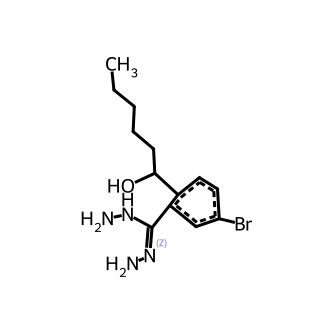 CCCCCC(O)c1ccc(Br)cc1/C(=N/N)NN